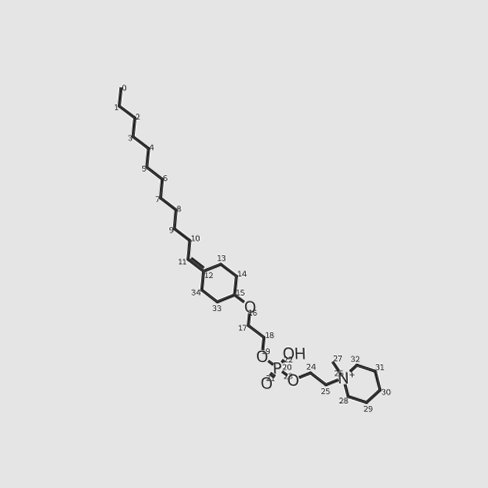 CCCCCCCCCCCC=C1CCC(OCCOP(=O)(O)OCC[N+]2(C)CCCCC2)CC1